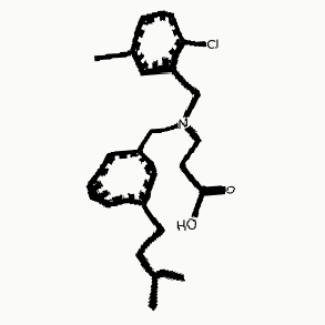 Cc1ccc(Cl)c(CN(CCC(=O)O)Cc2cccc(CCC(C)C)c2)c1